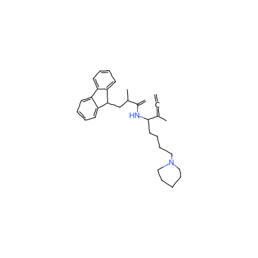 C=C=C(C)C(CCCCN1CCCCC1)NC(=C)C(C)CC1c2ccccc2-c2ccccc21